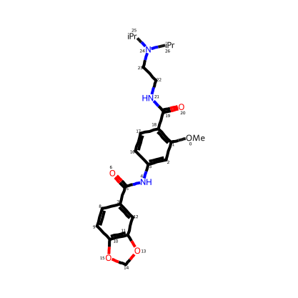 COc1cc(NC(=O)c2ccc3c(c2)OCO3)ccc1C(=O)NCCN(C(C)C)C(C)C